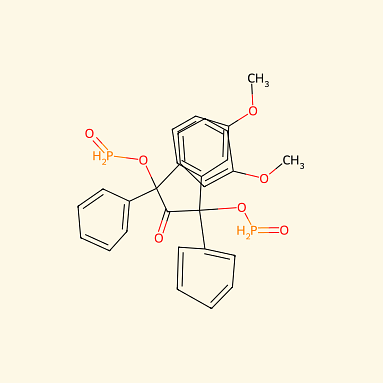 COc1cccc(C(O[PH2]=O)(C(=O)C(O[PH2]=O)(c2ccccc2)c2cccc(OC)c2)c2ccccc2)c1